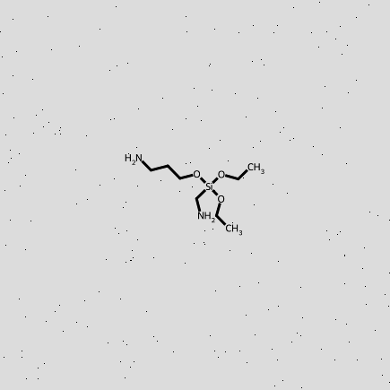 CCO[Si](CN)(OCC)OCCCN